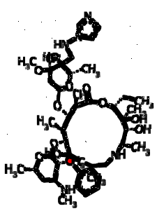 CC[C@H]1OC(=O)[C@H](C)[C@@H](O[C@H]2C[C@@](C)(OC)[C@](O)(CNn3ccnc3)[C@H](C)O2)[C@H](C)[C@@H](O[C@@H]2O[C@H](C)C[C@H](NC)[C@H]2Oc2ccccc2)[C@](C)(O)C[C@@H](C)CN[C@H](C)[C@@H](O)[C@]1(C)O